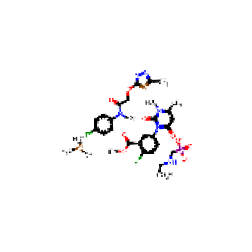 CC(C)N(C(=O)COc1nnc(C(F)(F)F)s1)c1ccc(F)cc1.CC(C)OC(=O)c1cc(-n2c(=O)cc(C(F)(F)F)n(C)c2=O)ccc1Cl.C[S+](C)C.O=C(O)CNCP(=O)([O-])O